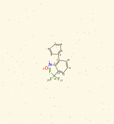 O=Nc1c(-c2ccccc2)cccc1C(F)(F)F